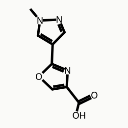 Cn1cc(-c2nc(C(=O)O)co2)cn1